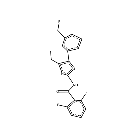 CCc1nc(NC(=O)c2c(F)cccc2F)sc1-c1cccc(CF)c1